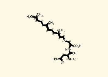 CC(=O)NC(CC(N)=O)C(=O)NC(CSC/C=C(\C)CC/C=C(\C)CCC=C(C)C)C(=O)O